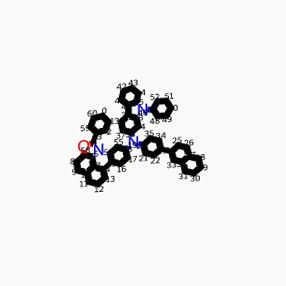 c1ccc(-c2nc3c(ccc4cccc(-c5ccc(N(c6ccc(-c7ccc8ccccc8c7)cc6)c6ccc7c8ccccc8n(-c8ccccc8)c7c6)cc5)c43)o2)cc1